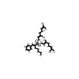 CCCCC/C(=C\c1ccccc1)C(OC/C=C(\C)CCC=C(C)C)OC/C=C(\C)CCC=C(C)C